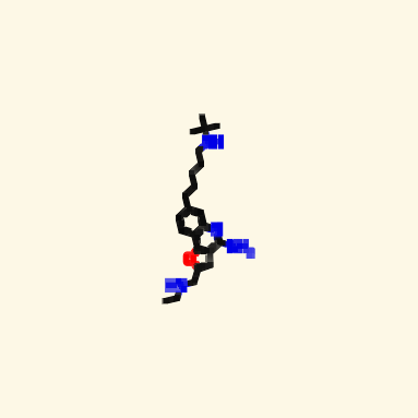 CCNCc1cc2c(N)nc3cc(CCCCCNC(C)(C)C)ccc3c2o1